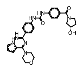 N=C(/N=C(\c1ccc[nH]1)N1CCOCC1)c1ccc(NC(=O)Nc2ccc(C(=O)N3CC[C@H](O)C3)cc2)cc1